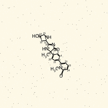 Cn1c(-c2ccc(C3(C)NC(C4C[C@@H](O)CN4)=NC3=O)cc2)cccc1=O